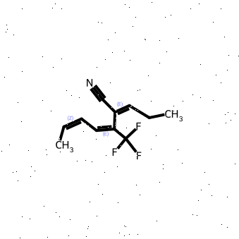 C\C=C/C=C(\C(C#N)=C/CC)C(F)(F)F